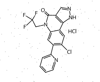 Cl.O=c1c2cn[nH]c2c2cc(Cl)c(-c3ccccn3)cc2n1CC(F)(F)F